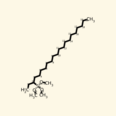 [CH2]CC(CCCCCCCCCCCCCCCCCC)[Si](OC)(OC)OC